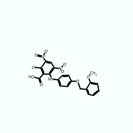 COc1ccccc1COc1ccc(Nc2c([N+](=O)[O-])cc([N+](=O)[O-])c(Cl)c2C(=O)O)cc1